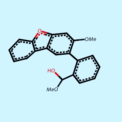 COc1cc2oc3ccccc3c2cc1-c1ccccc1C(O)OC